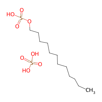 CCCCCCCCCCCCOS(=O)(=O)O.O=S(=O)(O)O